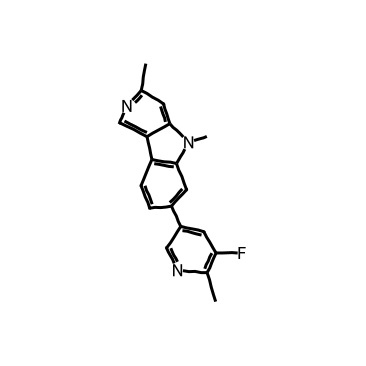 Cc1cc2c(cn1)c1ccc(-c3cnc(C)c(F)c3)cc1n2C